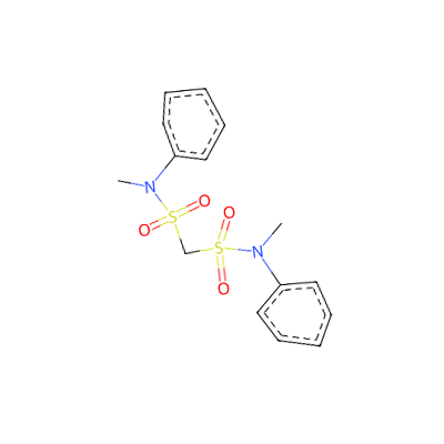 CN(c1ccccc1)S(=O)(=O)CS(=O)(=O)N(C)c1ccccc1